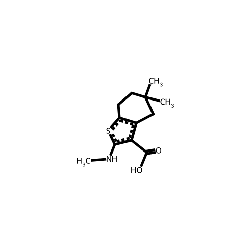 CNc1sc2c(c1C(=O)O)CC(C)(C)CC2